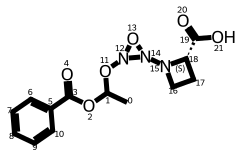 CC(OC(=O)c1ccccc1)On1on1N1CC[C@H]1C(=O)O